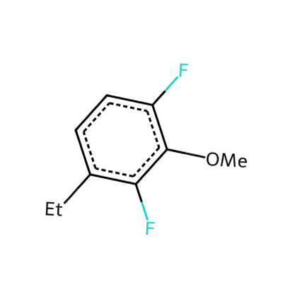 CCc1ccc(F)c(OC)c1F